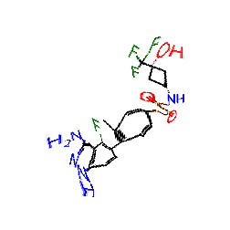 Cc1cc(S(=O)(=O)N[C@H]2C[C@](O)(C(F)(F)F)C2)ccc1-c1ccc2[nH]nc(N)c2c1F